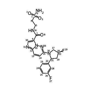 NS(=O)(=O)CCNC(=O)c1cnc2ccc(N3C[C@@H](F)CC3c3cccc(F)c3)nn12